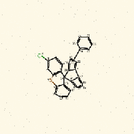 Clc1ccc2c(c1)Sc1ccccc1C21c2ccccc2-c2cc(-c3ccccc3)ccc21